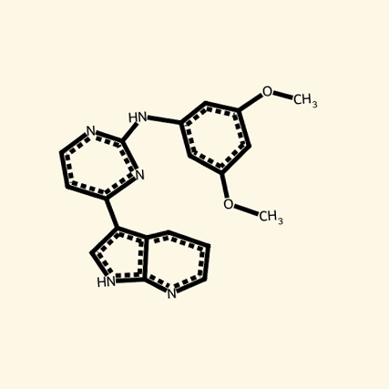 COc1cc(Nc2nccc(-c3c[nH]c4ncccc34)n2)cc(OC)c1